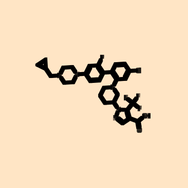 O=C(O)c1cnn(C2CCCN(c3cc(Cl)ccc3-c3ccc(N4CCN(CC5CC5)CC4)cc3F)C2)c1C(F)(F)F